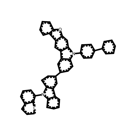 c1ccc(-c2ccc(-n3c4ccc(-c5ccc6c(c5)c5ccccc5n6-c5cccc6ccccc56)cc4c4cc5c(cc43)oc3ccccc35)cc2)cc1